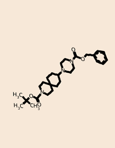 CC(C)(C)OC(=O)N1CCC2(CCC(N3CCN(C(=O)OCc4ccccc4)CC3)CC2)CC1